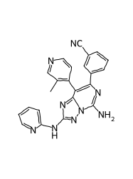 Cc1cnccc1-c1c(-c2cccc(C#N)c2)nc(N)n2nc(Nc3ccccn3)nc12